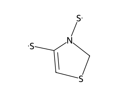 [S]C1=CSCN1[S]